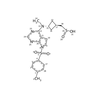 Cc1ccc(S(=O)(=O)n2ccc3c(N(C)[C@H]4C[C@H](CS(=O)O)C4)ncnc32)cc1